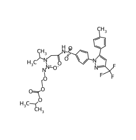 Cc1ccc(-c2cc(C(F)(F)F)nn2-c2ccc(S(=O)(=O)NC(=O)CN(C(C)C)/[N+]([O-])=N/OCOC(=O)OC(C)C)cc2)cc1